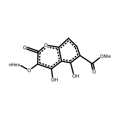 CCCCCCOc1c(O)c2c(O)c(C(=O)OC)ccc2oc1=O